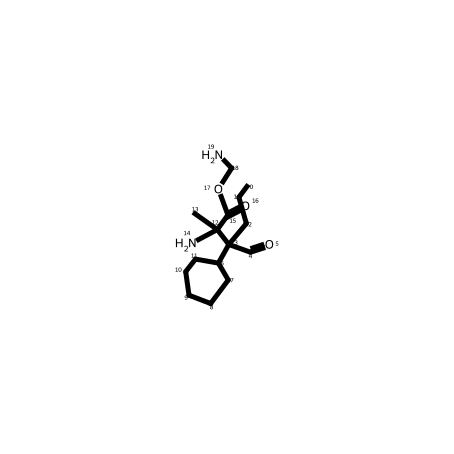 CCCC(C=O)(C1CCCCC1)C(C)(N)C(=O)OCN